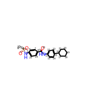 CC(C)S(=O)(=O)Nc1ccc(C(=O)Nc2ccc(C3CCCCC3)cc2)cc1